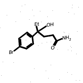 CCC(O)(CCC(N)=O)c1ccc(Br)cc1